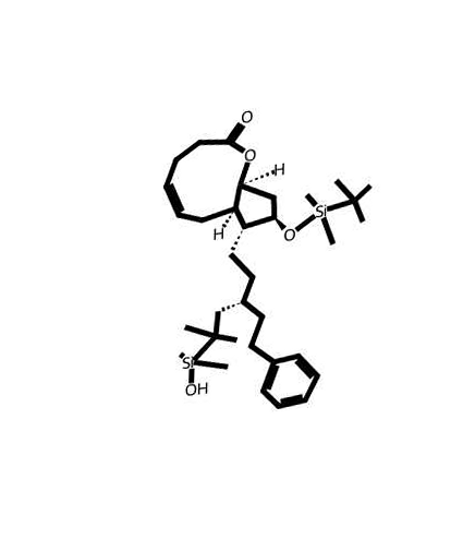 CC(C)(C[C@@H](CCc1ccccc1)CC[C@@H]1[C@H]2C/C=C\CCC(=O)O[C@H]2C[C@H]1O[Si](C)(C)C(C)(C)C)[Si](C)(C)O